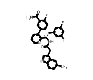 NC(=O)c1cc(-c2cccnc2[C@H](Cc2cc(F)cc(F)c2)NC(=O)Cc2c[nH]c3ccc(C(F)(F)F)cc23)ccc1F